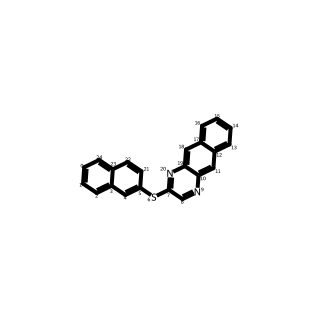 c1ccc2cc(Sc3cnc4cc5ccccc5cc4n3)ccc2c1